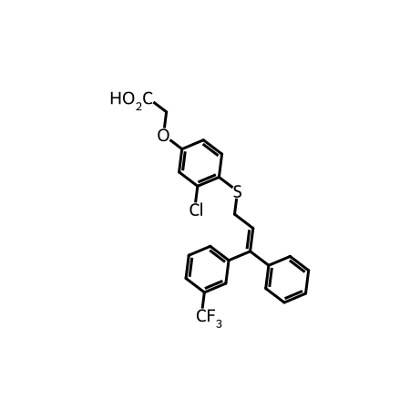 O=C(O)COc1ccc(SCC=C(c2ccccc2)c2cccc(C(F)(F)F)c2)c(Cl)c1